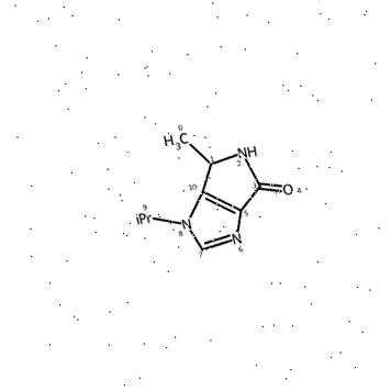 CC1NC(=O)c2ncn(C(C)C)c21